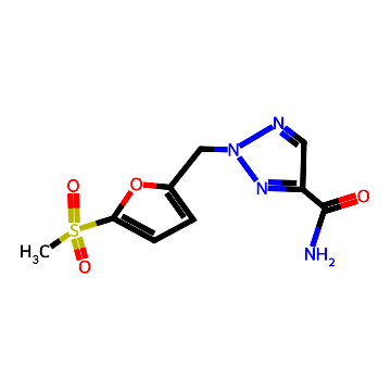 CS(=O)(=O)c1ccc(Cn2ncc(C(N)=O)n2)o1